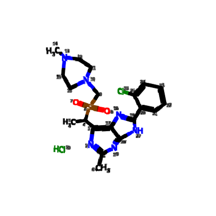 Cc1nc(C(C)S(=O)(=O)CN2CCN(C)CC2)c2nc(-c3ccccc3Cl)[nH]c2n1.Cl